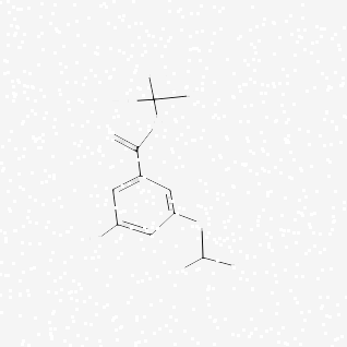 CC(C)Sc1cc(Cl)cc(C(=O)OC(C)(C)C)c1